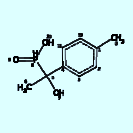 Cc1ccc(C(C)(O)[PH](=O)O)cc1